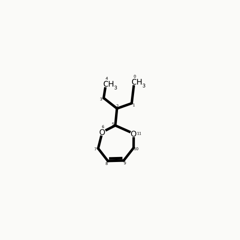 CCC(CC)C1OCC=CCO1